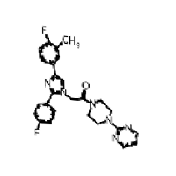 Cc1cc(-c2cn(CC(=O)N3CCN(c4ncccn4)CC3)c(-c3ccc(F)cc3)n2)ccc1F